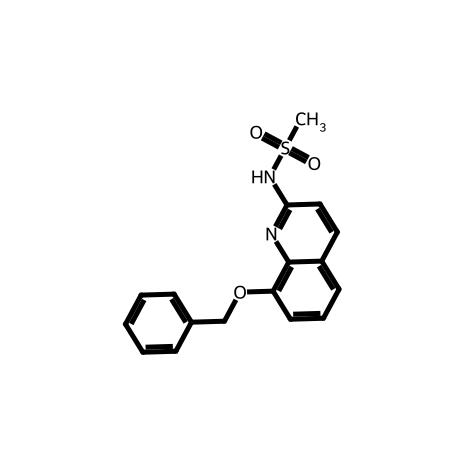 CS(=O)(=O)Nc1ccc2cccc(OCc3ccccc3)c2n1